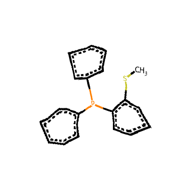 CSc1ccccc1P(c1ccccc1)c1ccccc1